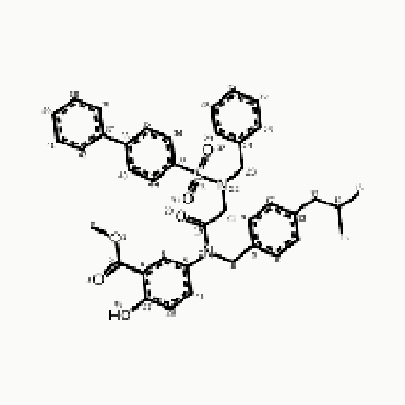 COC(=O)c1cc(N(Cc2ccc(CC(C)C)cc2)C(=O)CN(Cc2ccccc2)S(=O)(=O)c2ccc(-c3ccccc3)cc2)ccc1O